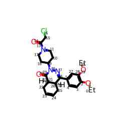 CCOc1ccc(C2=NN(C3CCN(C(=O)CCl)CC3)C(=O)[C@@H]3CC=CC[C@H]23)cc1OCC